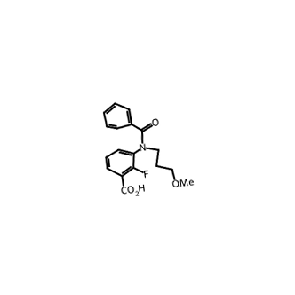 COCCCN(C(=O)c1ccccc1)c1cccc(C(=O)O)c1F